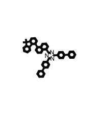 CC1(C)c2ccccc2-c2c(-c3cccc4c(-c5nc(-c6ccc(-c7ccccc7)cc6)nc(-c6ccc(-c7ccccc7)cc6)n5)cccc34)cccc21